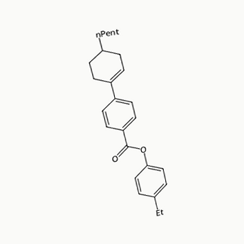 CCCCCC1CC=C(c2ccc(C(=O)Oc3ccc(CC)cc3)cc2)CC1